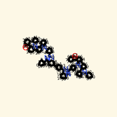 c1ccc(-c2nc(-c3cccc(-n4c5ccccc5c5c4ccc4c6ccc7oc8ccccc8c7c6n(-c6ccccc6)c45)c3)nc3cc(-c4ccc(-c5nc(-c6ccc(-n7c8c(ccc9oc%10ccccc%10c98)c8ccc9c(c%10ccccc%10n9-c9ccccc9)c87)cc6)nc6ccccc56)cc4)ccc23)cc1